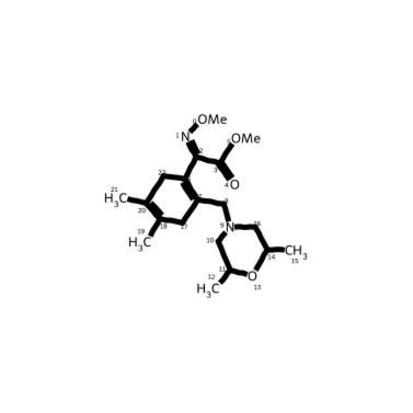 CON=C(C(=O)OC)C1=C(CN2CC(C)OC(C)C2)CC(C)=C(C)C1